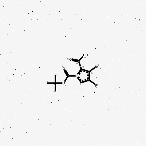 CC(C)(C)OC(=O)n1cc(Br)c(Br)c1C(=O)O